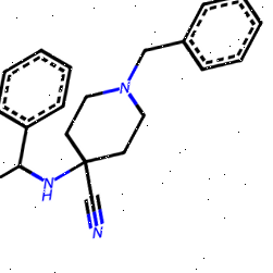 CC(NC1(C#N)CCN(Cc2ccccc2)CC1)c1ccccc1